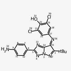 CC(C)(C)C1=Nn2nc(-c3ccc(N)cc3)nc2/C1=N\c1cc(Cl)c(O)c(Cl)c1